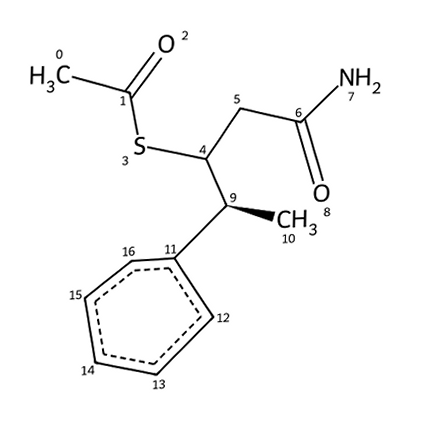 CC(=O)SC(CC(N)=O)[C@@H](C)c1ccccc1